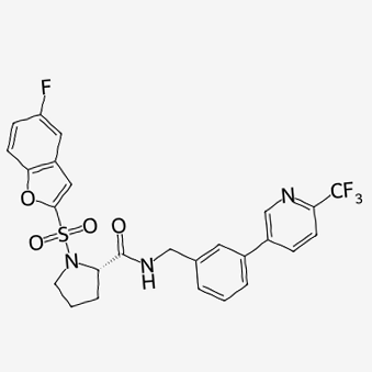 O=C(NCc1cccc(-c2ccc(C(F)(F)F)nc2)c1)[C@@H]1CCCN1S(=O)(=O)c1cc2cc(F)ccc2o1